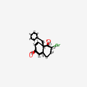 O=C1C=CC2(Cc3ccccc3)C(=O)C(Br)CCC2C1